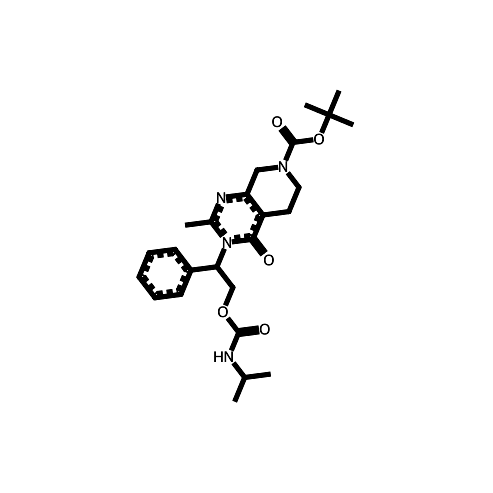 Cc1nc2c(c(=O)n1C(COC(=O)NC(C)C)c1ccccc1)CCN(C(=O)OC(C)(C)C)C2